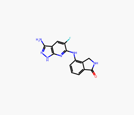 Nc1n[nH]c2nc(Nc3cccc4c3CNC4=O)c(F)cc12